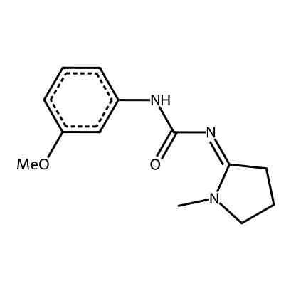 COc1cccc(NC(=O)N=C2CCCN2C)c1